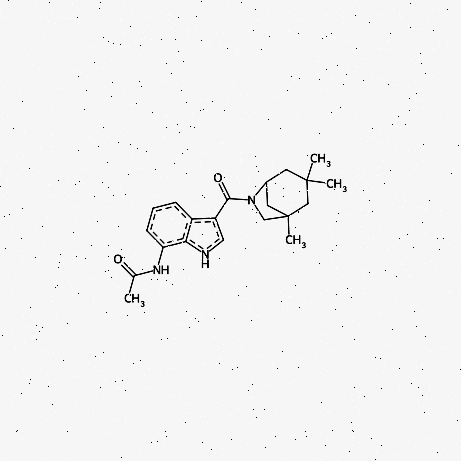 CC(=O)Nc1cccc2c(C(=O)N3CC4(C)CC3CC(C)(C)C4)c[nH]c12